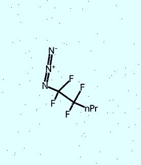 CCCC(F)(F)C(F)(F)N=[N+]=[N-]